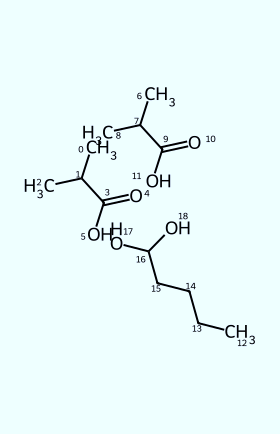 CC(C)C(=O)O.CC(C)C(=O)O.CCCCC(O)O